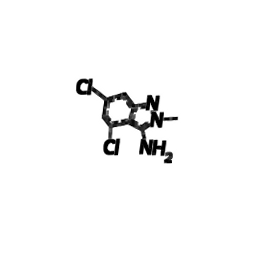 Cn1nc2cc(Cl)cc(Cl)c2c1N